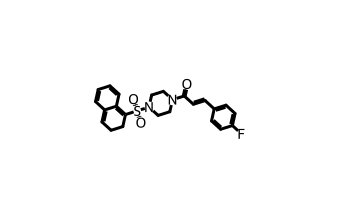 O=C(C=Cc1ccc(F)cc1)N1CCN(S(=O)(=O)C2=c3ccccc3=CCC2)CC1